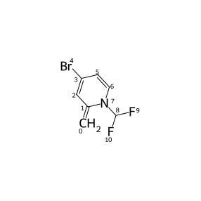 C=C1C=C(Br)C=CN1C(F)F